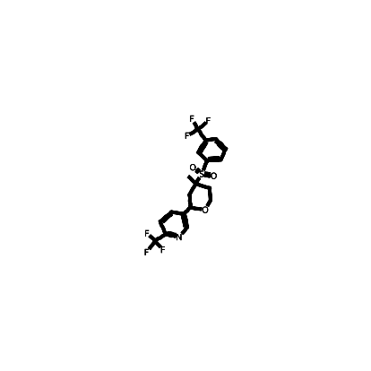 CC1(S(=O)(=O)c2cccc(C(F)(F)F)c2)CCOC(c2ccc(C(F)(F)F)nc2)C1